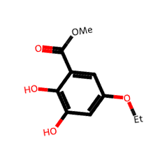 CCOc1cc(O)c(O)c(C(=O)OC)c1